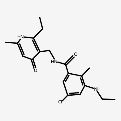 CCNc1cc(Cl)cc(C(=O)NCc2c(CC)[nH]c(C)cc2=O)c1C